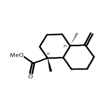 C=C1CCCC2[C@@]1(C)CCC[C@@]2(C)C(=O)OC